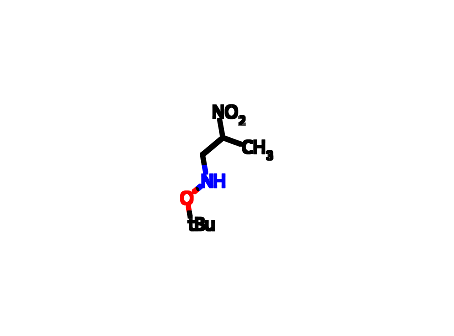 CC(CNOC(C)(C)C)[N+](=O)[O-]